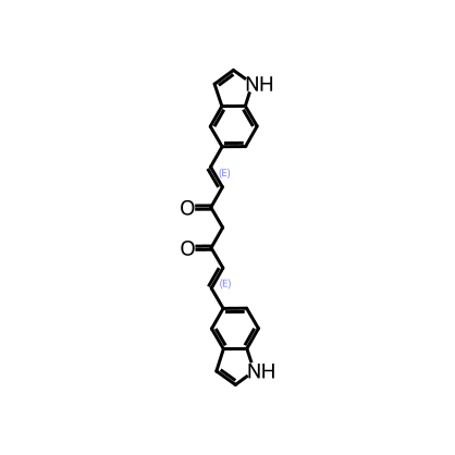 O=C(/C=C/c1ccc2[nH]ccc2c1)CC(=O)/C=C/c1ccc2[nH]ccc2c1